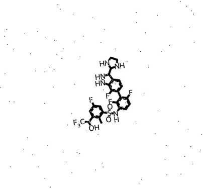 Cc1c(C(O)C(F)(F)F)cc(F)cc1S(=O)(=O)Nc1ccc(F)c(-c2ccc3c(c2F)NNC3C2NCCN2)c1F